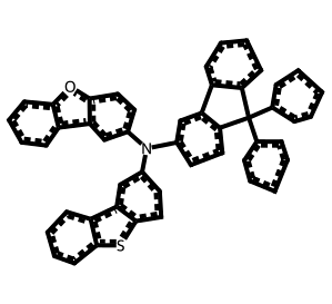 c1ccc(C2(c3ccccc3)c3ccccc3-c3cc(N(c4ccc5oc6ccccc6c5c4)c4ccc5sc6ccccc6c5c4)ccc32)cc1